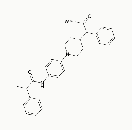 COC(=O)C(c1ccccc1)C1CCN(c2ccc(NC(=O)C(C)c3ccccc3)cc2)CC1